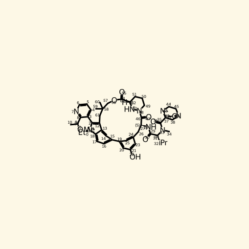 CCn1c(-c2cccnc2[C@H](C)OC)c2c3cc(ccc31)-c1cc(O)cc(c1)C[C@H](NC(=O)[C@H](C(C)C)N(C)C(=O)C1CN3CCCN1CC3)C(=O)N1CCC[C@H](N1)C(=O)OCC(C)(C)C2